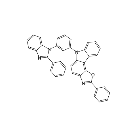 c1ccc(-c2nc3ccc4c(c5ccccc5n4-c4cccc(-n5c(-c6ccccc6)nc6ccccc65)c4)c3o2)cc1